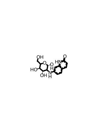 O=c1ccc2ccc(NC3[C@@H](O)OC(CO)[C@H](O)[C@H]3O)cc2[nH]1